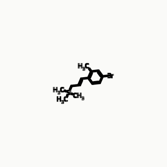 Cc1cc(Br)ccc1C=CC[Si](C)(C)C